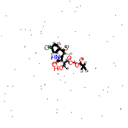 C[C@@H](O)C(C(=O)OCOC(=O)C(C)(C)C)[C@@H]1C(=O)N[C@@H]1[C@@H](C)C(=S)c1ccc(Cl)cc1